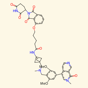 COc1cc(-c2cn(C)c(=O)c3cnccc23)cc(OC)c1CN(C)CC12CC(NC(=O)CCCCOc3cccc4c3C(=O)N(C3CCC(=O)NC3=O)C4=O)(C1)C2